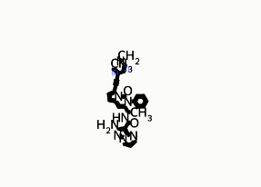 C=N/C=C\C(C#Cc1ccc2cc(C(C)NC(=O)c3c(N)nn4cccnc34)n(-c3ccccc3)c(=O)n12)=C/C